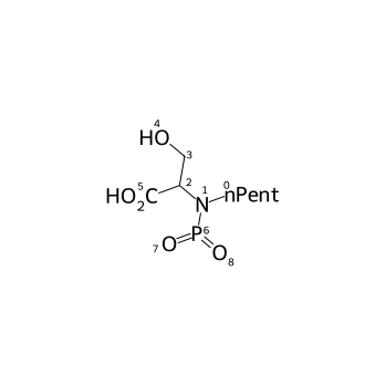 CCCCCN(C(CO)C(=O)O)P(=O)=O